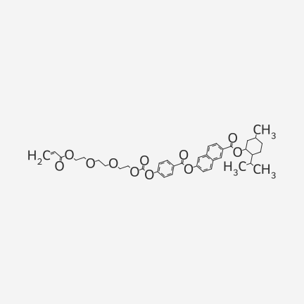 C=CC(=O)OCCOCCOCCOC(=O)Oc1ccc(C(=O)Oc2ccc3cc(C(=O)OC4CC(C)CCC4C(C)C)ccc3c2)cc1